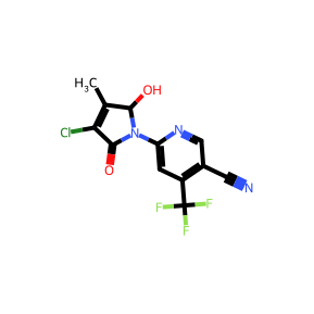 CC1=C(Cl)C(=O)N(c2cc(C(F)(F)F)c(C#N)cn2)C1O